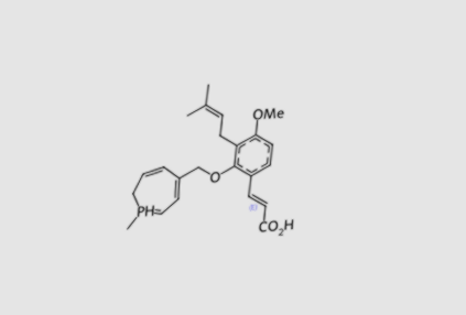 COc1ccc(/C=C/C(=O)O)c(OCC2=CC=[PH](C)CC=C2)c1CC=C(C)C